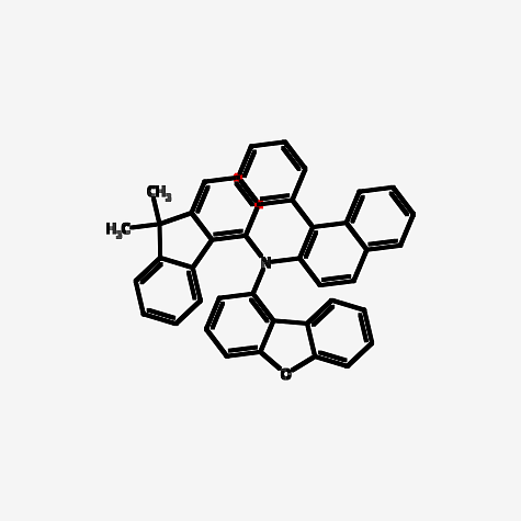 CC1(C)c2ccccc2-c2c(N(c3ccc4ccccc4c3-c3ccccc3)c3cccc4oc5ccccc5c34)cccc21